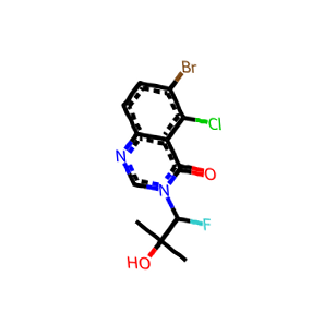 CC(C)(O)C(F)n1cnc2ccc(Br)c(Cl)c2c1=O